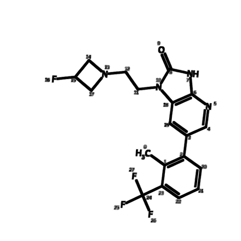 Cc1c(-c2cnc3[nH]c(=O)n(CCN4CC(F)C4)c3c2)cccc1C(F)(F)F